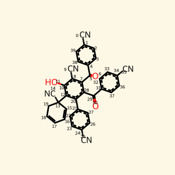 N#Cc1ccc(C(=O)c2c(C#N)c(O)c(C3(C#N)C=CC=CC3)c(-c3ccc(C#N)cc3)c2C(=O)c2ccc(C#N)cc2)cc1